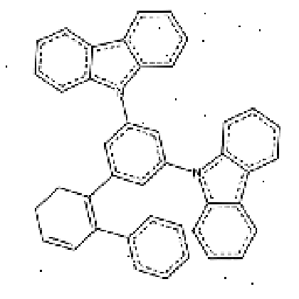 C1=CC(c2ccccc2)=C(c2cc(-n3c4ccccc4c4ccccc43)cc(-n3c4ccccc4c4ccccc43)c2)CC1